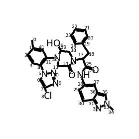 Cc1ccc(-n2cc(Cl)nn2)c(N2CC(=O)N(C(Cc3ccccc3)C(=O)Nc3ccc4nn(C)cc4c3)CC2O)c1